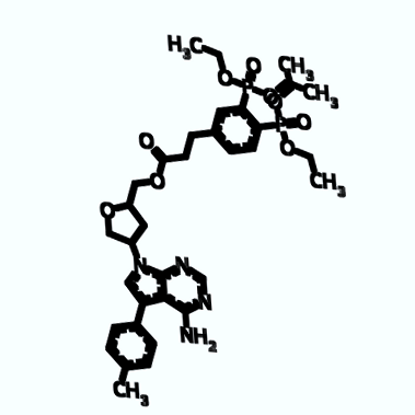 CCOP(=O)(OCC)c1ccc(CCC(=O)OCC2CC(n3cc(-c4ccc(C)cc4)c4c(N)ncnc43)CO2)cc1P(=O)(OCC)OCC